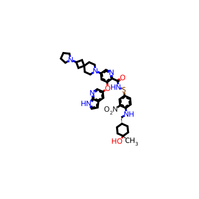 C[C@]1(O)CC[C@H](CNc2ccc(SNC(=O)c3ncc(N4CCC5(CC4)CC(N4CCCC4)C5)cc3Oc3cnc4[nH]ccc4c3)cc2[N+](=O)[O-])CC1